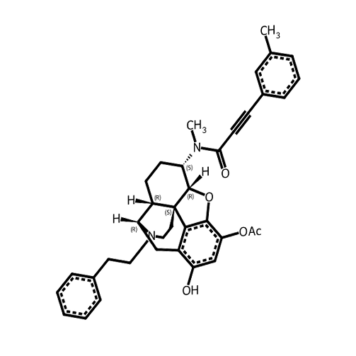 CC(=O)Oc1cc(O)c2c3c1O[C@H]1[C@@H](N(C)C(=O)C#Cc4cccc(C)c4)CC[C@H]4[C@@H](C2)N(CCc2ccccc2)CC[C@@]341